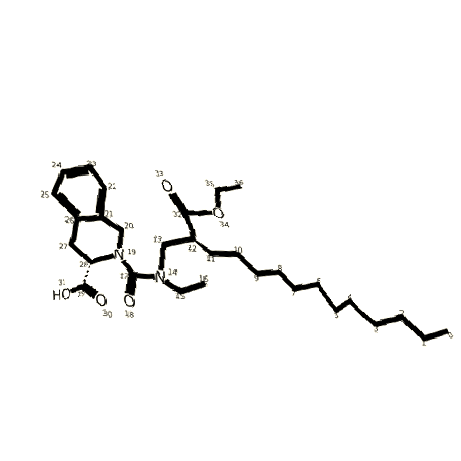 CCCCCCCCCCCC[C@@H](CN(CC)C(=O)N1Cc2ccccc2C[C@H]1C(=O)O)C(=O)OCC